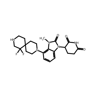 Cn1c(=O)n(C2CCC(=O)NC2=O)c2cccc(N3CCC4(CCNCC4(F)F)CC3)c21